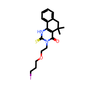 CC1(C)Cc2ccccc2-c2[nH]c(=S)n(CCOCCCI)c(=O)c21